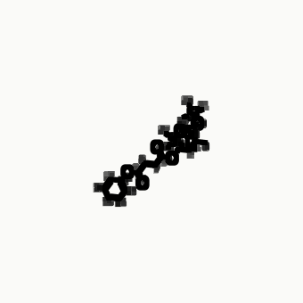 CC(CCOC(=O)C=CC(=O)Oc1ccccc1)[SiH](O[Si](C)(C)C)O[Si](C)(C)C